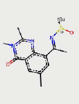 CC(=N[S@+]([O-])C(C)(C)C)c1cc(C)cc2c(=O)n(C)c(C)nc12